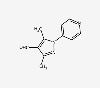 Cc1nn(-c2ccncc2)c(C)c1C=O